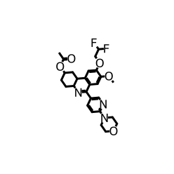 COc1cc2c(cc1OCC(F)F)C1CC(OC(C)=O)CCC1N=C2c1ccc(N2CCOCC2)nc1